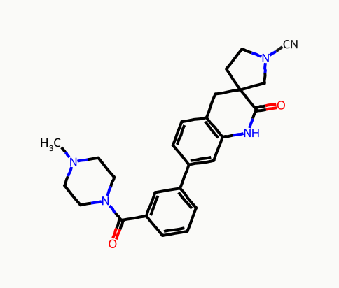 CN1CCN(C(=O)c2cccc(-c3ccc4c(c3)NC(=O)C3(CCN(C#N)C3)C4)c2)CC1